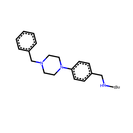 CC(C)(C)NCc1ccc(N2CCN(Cc3ccccc3)CC2)cc1